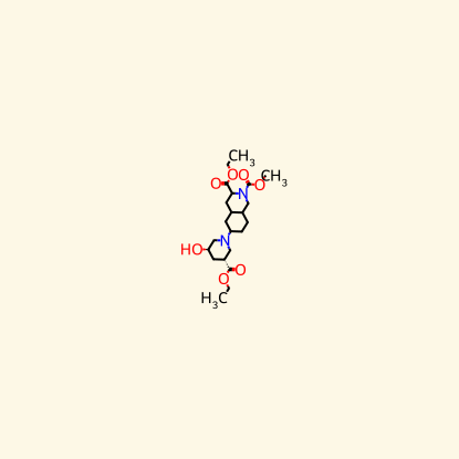 CCOC(=O)C1CC2CC(N3C[C@H](O)C[C@@H](C(=O)OCC)C3)CCC2CN1C(=O)OC